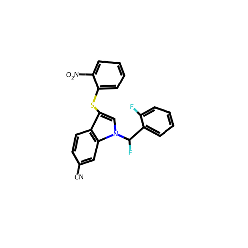 N#Cc1ccc2c(Sc3ccccc3[N+](=O)[O-])cn(C(F)c3ccccc3F)c2c1